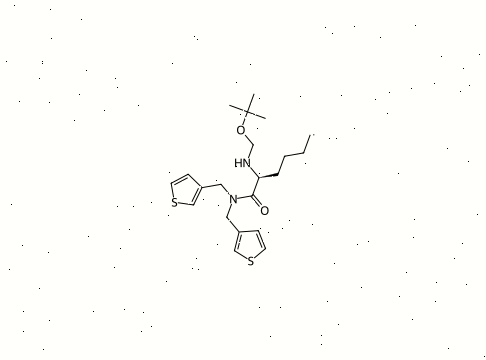 [CH2]CCC[C@H](NCOC(C)(C)C)C(=O)N(Cc1ccsc1)Cc1ccsc1